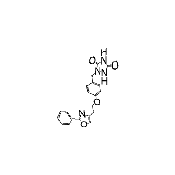 O=c1[nH]c(=O)n(Cc2ccc(OCCc3coc(-c4ccccc4)n3)cc2)[nH]1